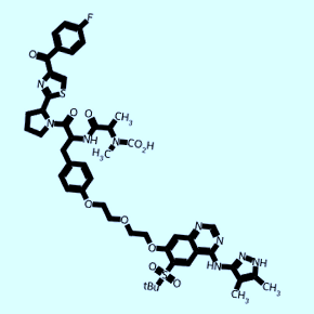 Cc1[nH]nc(Nc2ncnc3cc(OCCOCCOc4ccc(CC(NC(=O)C(C)N(C)C(=O)O)C(=O)N5CCCC5c5nc(C(=O)c6ccc(F)cc6)cs5)cc4)c(S(=O)(=O)C(C)(C)C)cc23)c1C